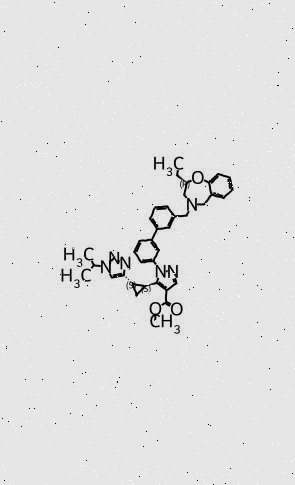 CC[C@@H]1CN(Cc2cccc(-c3cccc(-n4ncc(C(=O)OC)c4[C@H]4C[C@@H]4c4cn(C(C)C)nn4)c3)c2)Cc2ccccc2O1